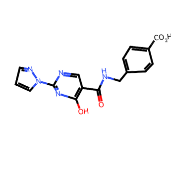 O=C(O)c1ccc(CNC(=O)c2cnc(-n3cccn3)nc2O)cc1